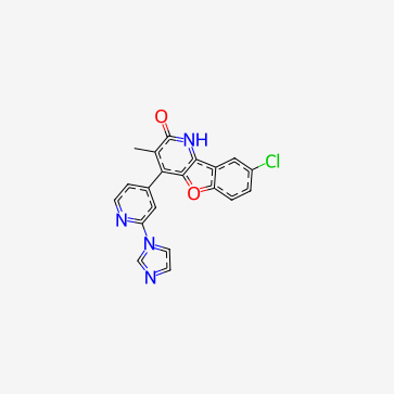 Cc1c(-c2ccnc(-n3ccnc3)c2)c2oc3ccc(Cl)cc3c2[nH]c1=O